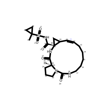 CC1(S(=O)(=O)NC(=O)[C@@]23CC2/C=C\CCCCCNC(=O)N2CCC[C@H]2C(=O)N3)CC1